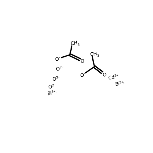 CC(=O)[O-].CC(=O)[O-].[Bi+3].[Bi+3].[Cd+2].[O-2].[O-2].[O-2]